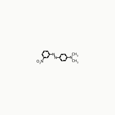 CN(C)c1ccc(N=Nc2cccc([N+](=O)[O-])c2)cc1